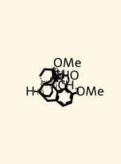 COc1ccc2c3c1O[C@H]1[C@@]4(OC)CC[C@@]5(C[C@]4(C)C=O)[C@H](CCC[C@]315)C2